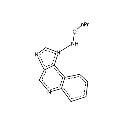 CCCONn1cnc2cnc3ccccc3c21